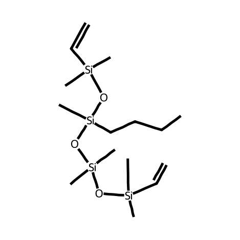 C=C[Si](C)(C)O[Si](C)(C)O[Si](C)(CCCC)O[Si](C)(C)C=C